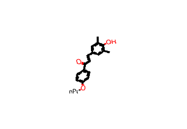 CCCOc1ccc(C(=O)C=Cc2cc(C)c(O)c(C)c2)cc1